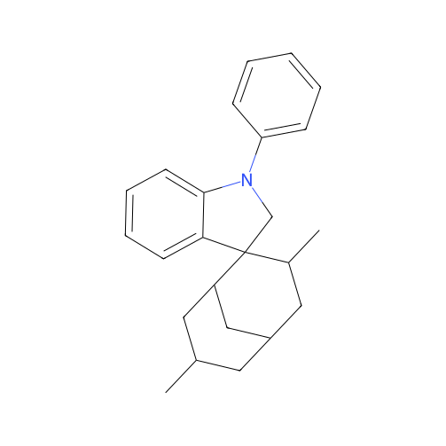 CC1CC2CC(C)C3(CN(c4ccccc4)c4ccccc43)C(C1)C2